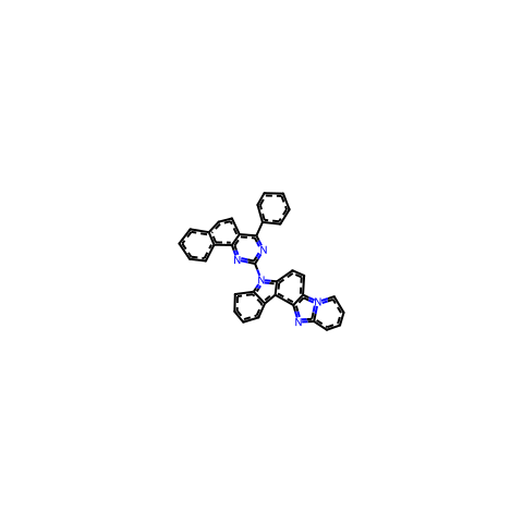 c1ccc(-c2nc(-n3c4ccccc4c4c5nc6ccccn6c5ccc43)nc3c2ccc2ccccc23)cc1